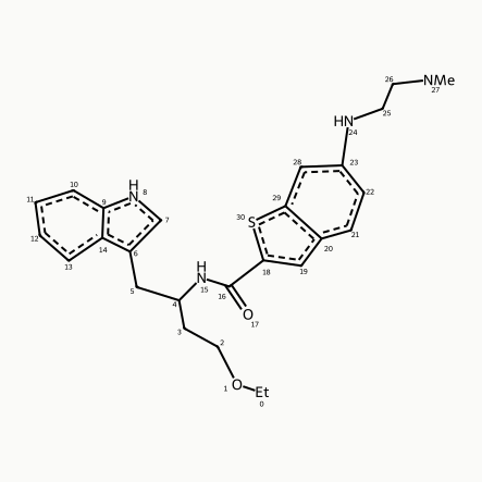 CCOCCC(Cc1c[nH]c2ccccc12)NC(=O)c1cc2ccc(NCCNC)cc2s1